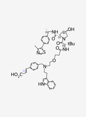 Cc1ncsc1-c1ccc([C@H](C)NC(=O)[C@@H]2C[C@@H](O)CN2C(=O)[C@@H](NC(=O)CCOCCN(CCc2c[nH]c3ccccc23)Cc2ccc(/C=C/C(=O)O)cc2)C(C)(C)C)cc1